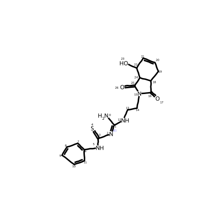 N/C(=N\C(=S)Nc1ccccc1)NCCN1C(=O)C2CC=CC(O)C2C1=O